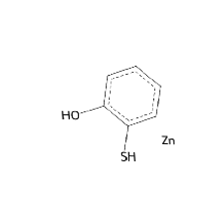 Oc1ccccc1S.[Zn]